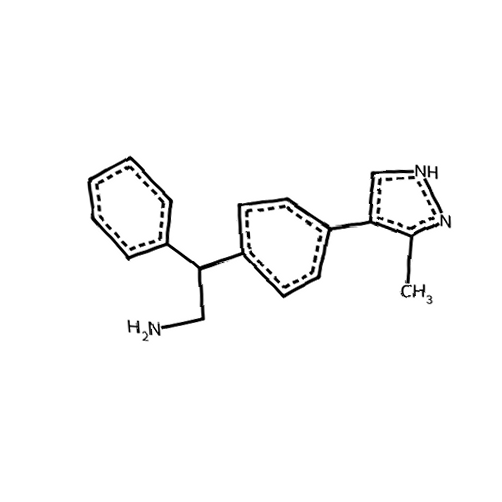 Cc1n[nH]cc1-c1ccc(C(CN)c2ccccc2)cc1